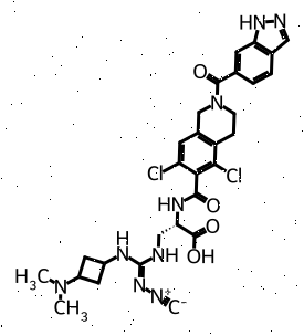 [C-]#[N+]/N=C(\NC[C@H](NC(=O)c1c(Cl)cc2c(c1Cl)CCN(C(=O)c1ccc3cn[nH]c3c1)C2)C(=O)O)NC1CC(N(C)C)C1